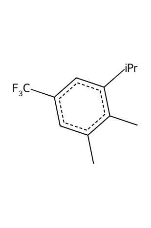 Cc1cc(C(F)(F)F)cc(C(C)C)c1C